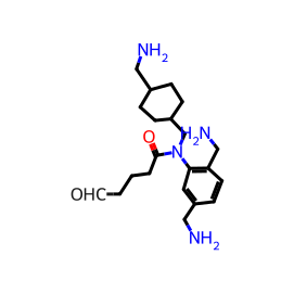 NCc1ccc(CN)c(N(CC2CCC(CN)CC2)C(=O)CCCC=O)c1